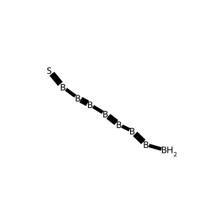 B\B=B/B=B\B=B/B=S